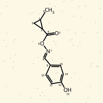 CC1CC1C(=O)O/N=C/c1ccc(O)cc1